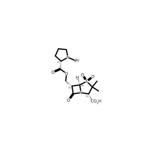 CC(C)N1CCC[C@H]1C(=O)OC[C@H]1C(=O)N2[C@@H](C(=O)O)C(C)(C)S(=O)(=O)[C@H]12